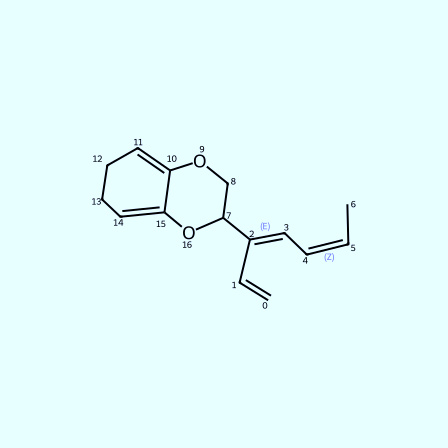 C=C/C(=C\C=C/C)C1COC2=CCCC=C2O1